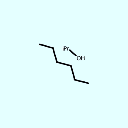 CC(C)O.CCCCCC